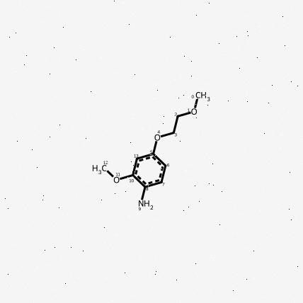 COCCOc1ccc(N)c(OC)c1